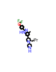 Cc1cc(C2CCN(C3CCNCC3)[C@H](CC(C)C)C2)cc2[nH]c(-c3ccc(OC(F)F)cc3)nc12